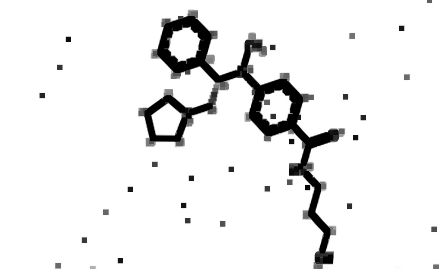 CN(c1ccc(C(=O)NCCCO)cc1)[C@H](CN1CCCC1)c1ccccc1